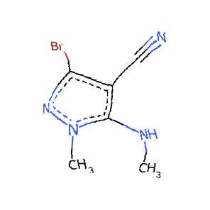 CNc1c(C#N)c(Br)nn1C